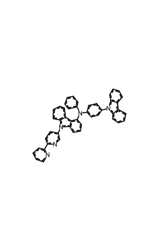 c1ccc(N(c2ccc(-n3c4ccccc4c4ccccc43)cc2)c2cccc3c2c2ccccc2n3-c2ccc(-c3ccccn3)nc2)cc1